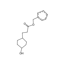 O=C(CCC1CCC(O)CC1)OCc1ccccc1